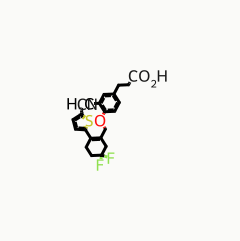 Cc1cc(CCC(=O)O)ccc1OCC1=C(c2ccc(C#N)s2)CCC(F)(F)C1